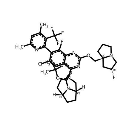 Cc1cc(C)c(C(F)(F)F)c(-c2c(Cl)cc3c(N4CC[C@H]5CC[C@@H](C4)N5C(=O)OC(C)(C)C)nc(OC[C@@]45CCCN4C[C@H](F)C5)nc3c2F)n1